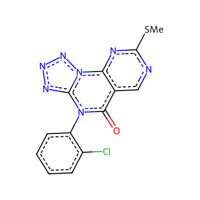 CSc1ncc2c(=O)n(-c3ccccc3Cl)c3nnnn3c2n1